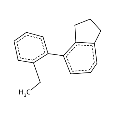 CCc1ccccc1-c1cccc2c1CCC2